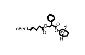 CCCCCC=CCCC(=O)OCC(C(=O)O[C@H]1C[C@H]2CC[C@@H](C1)N2C)c1ccccc1